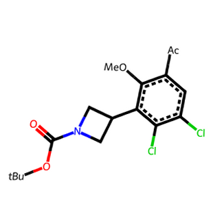 COc1c(C(C)=O)cc(Cl)c(Cl)c1C1CN(C(=O)OC(C)(C)C)C1